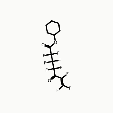 O=C(OC1CCCCC1)C(F)(F)C(F)(F)C(F)(F)C(=O)C(F)=C(F)F